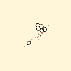 COc1ccc(COC[C@@]23CO[C@H]([C@H](c4ccc5ccc6cccc7ccc4c5c67)O2)[C@@H]3OCc2ccc(OC)cc2)cc1